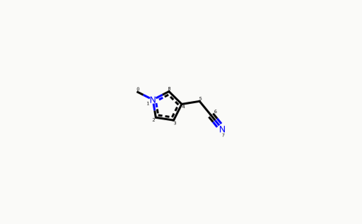 Cn1ccc(CC#N)c1